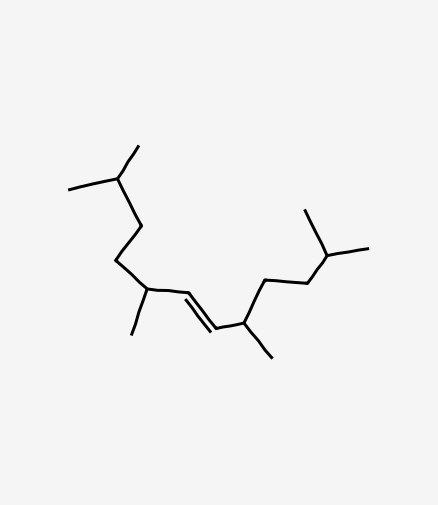 CC(C)CCC(C)C=CC(C)CCC(C)C